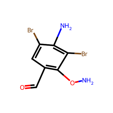 NOc1c(C=O)cc(Br)c(N)c1Br